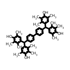 Cc1cc(C(c2ccc(-c3ccc(C(c4cc(C)c(O)c(C)c4C)c4cc(C)c(O)c(C)c4C)cc3)cc2)c2cc(C)c(O)c(C)c2C)c(C)c(C)c1O